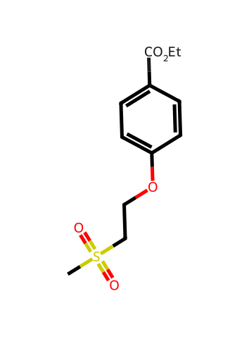 CCOC(=O)c1ccc(OCCS(C)(=O)=O)cc1